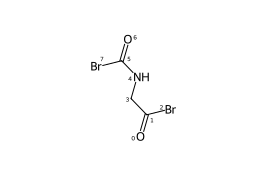 O=C(Br)CNC(=O)Br